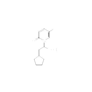 O=C(O)C(CC1CCCC1)n1cc(C(F)(F)F)ccc1=O